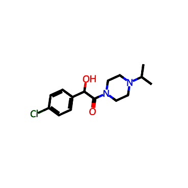 CC(C)N1CCN(C(=O)C(O)c2ccc(Cl)cc2)CC1